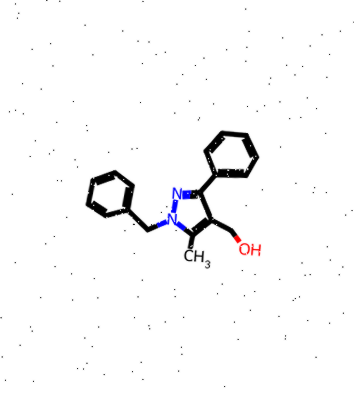 Cc1c(CO)c(-c2ccccc2)nn1Cc1ccccc1